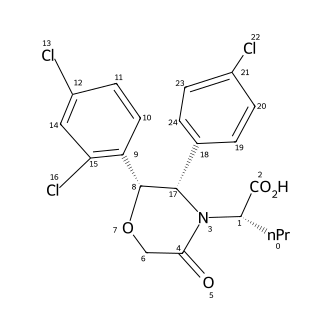 CCC[C@@H](C(=O)O)N1C(=O)CO[C@H](c2ccc(Cl)cc2Cl)[C@@H]1c1ccc(Cl)cc1